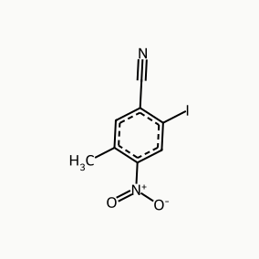 Cc1cc(C#N)c(I)cc1[N+](=O)[O-]